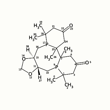 CC1(C)CC(=O)CC2(C)P1C[C@@H]1OCO[C@H]1CP1C(C)(C)CC(=O)CC12C